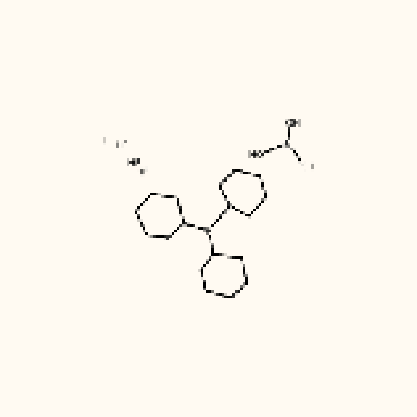 C1CCC(P(C2CCCCC2)C2CCCCC2)CC1.F.F.F.F.OB(O)O